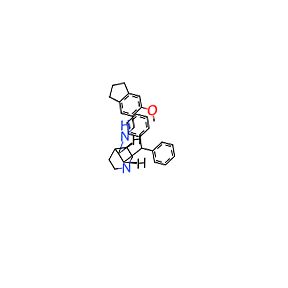 COc1cc2c(cc1CN[C@H]1C3CCN(CC3)[C@H]1C(c1ccccc1)c1ccccc1)CCC2